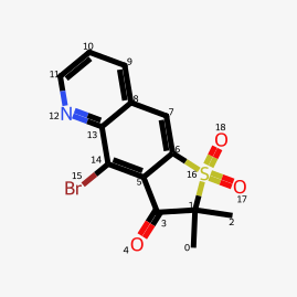 CC1(C)C(=O)c2c(cc3cccnc3c2Br)S1(=O)=O